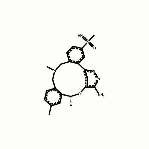 Cc1ccc2c(c1)[C@@H](C)Oc1cc(nnc1N)-c1cc(S(C)(=N)=O)ccc1CN(C)C2